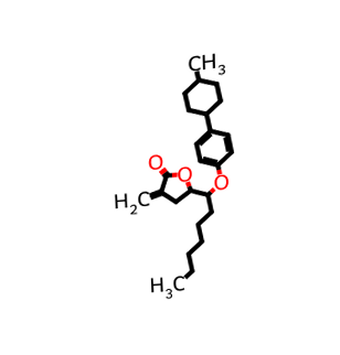 C=C1CC(C(CCCCCC)Oc2ccc(C3CCC(C)CC3)cc2)OC1=O